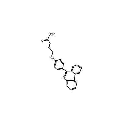 COS(=O)CCCOc1ccc(-c2nc3ccccc3c3ccccc23)cc1